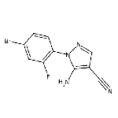 N#Cc1cnn(-c2ccc(Br)cc2F)c1N